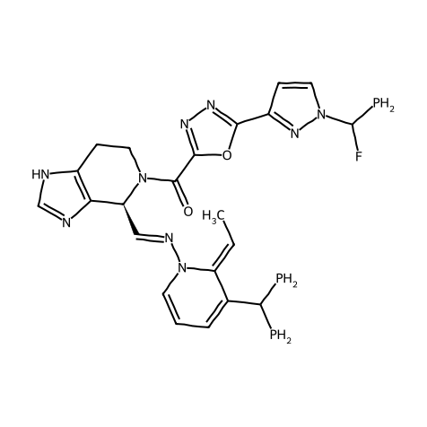 C/C=C1/C(C(P)P)=CC=CN1/N=C/[C@H]1c2nc[nH]c2CCN1C(=O)c1nnc(-c2ccn(C(F)P)n2)o1